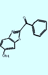 O=C(c1ccccc1)c1nc2ccc(O)cc2s1